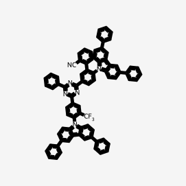 N#Cc1ccccc1-c1cc(-c2nc(-c3ccccc3)nc(-c3ccc(-n4c5ccc(-c6ccccc6)cc5c5cc(-c6ccccc6)ccc54)c(C(F)(F)F)c3)n2)ccc1-n1c2ccc(-c3ccccc3)cc2c2cc(-c3ccccc3)ccc21